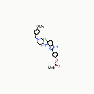 CNC(=O)COc1ccc(-c2nc3c(NC4CCN(Cc5ccc(OC)cc5)CC4)c(Cl)ccc3[nH]2)cc1